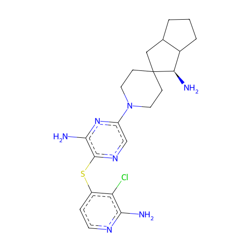 Nc1nc(N2CCC3(CC2)CC2CCCC2[C@H]3N)cnc1Sc1ccnc(N)c1Cl